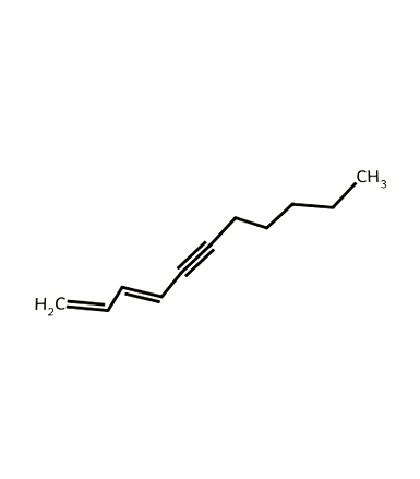 C=C/C=C/C#CCCCCC